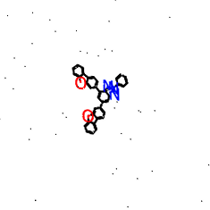 c1ccc(-n2nc3cc(-c4ccc5c(c4)oc4ccccc45)cc(-c4ccc5c(c4)oc4ccccc45)c3n2)cc1